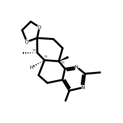 Cc1nc(C)c2c(n1)[C@@]1(C)CCC3(OCCO3)[C@@H](C)[C@@H]1CC2